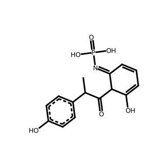 CC(C(=O)C1C(O)=CC=CC1=NP(=O)(O)O)c1ccc(O)cc1